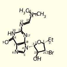 CC[C@H]1O[C@@H](n2cnc3c(=O)[nH]c(N=CN(C)C)nc32)C(O)[C@H]1Br